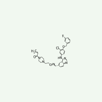 C=CC(=O)N1CCN(CCON=Cc2ccc3ncnc(Nc4ccc(OCc5cccc(F)c5)c(Cl)c4)c3c2)CC1